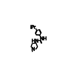 C=C(Nc1ccc(C(C)C)cc1)NC1CCN(C)CC1